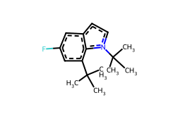 CC(C)(C)c1cc(F)cc2ccn(C(C)(C)C)c12